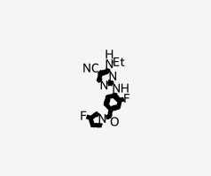 CCNc1nc(Nc2ccc(C(=O)N3CCC(F)C3)cc2F)ncc1C#N